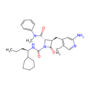 CCC[C@@H](NC(=O)N1C(=O)[C@H](Cc2cc(N)ncc2C)[C@H]1C(=O)N(C)c1ccccc1)C1CCCCC1